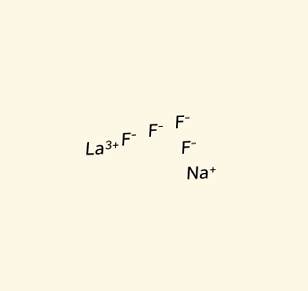 [F-].[F-].[F-].[F-].[La+3].[Na+]